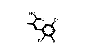 CC(=Cc1cc(Br)cc(Br)c1Br)C(=O)O